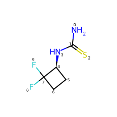 NC(=S)N[C@H]1CCC1(F)F